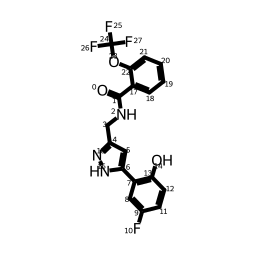 O=C(NCc1cc(-c2cc(F)ccc2O)[nH]n1)c1ccccc1OC(F)(F)F